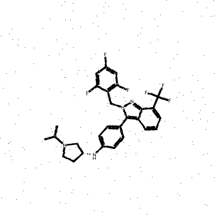 CC(C)N1CC[C@@H](Nc2ccc(-c3c4cccc(C(F)(F)F)c4nn3Cc3c(F)cc(F)cc3F)cc2)C1